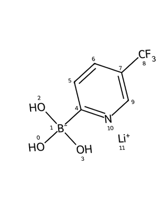 O[B-](O)(O)c1ccc(C(F)(F)F)cn1.[Li+]